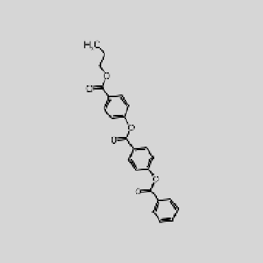 CCCOC(=O)c1ccc(OC(=O)c2ccc(OC(=O)c3ccccc3)cc2)cc1